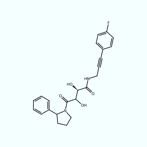 O=C(NCC#Cc1ccc(F)cc1)[C@H](O)C(O)C(=O)N1CCCC1c1ccccc1